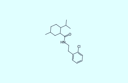 CC1CCC(C(C)C)C(C(=O)NCCc2ccccc2Cl)C1